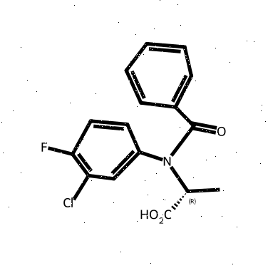 C[C@H](C(=O)O)N(C(=O)c1ccccc1)c1ccc(F)c(Cl)c1